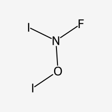 FN(I)OI